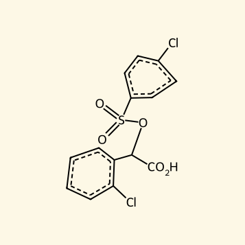 O=C(O)C(OS(=O)(=O)c1ccc(Cl)cc1)c1ccccc1Cl